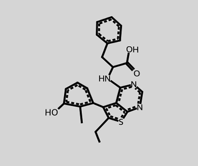 CCc1sc2ncnc(NC(Cc3ccccc3)C(=O)O)c2c1-c1cccc(O)c1C